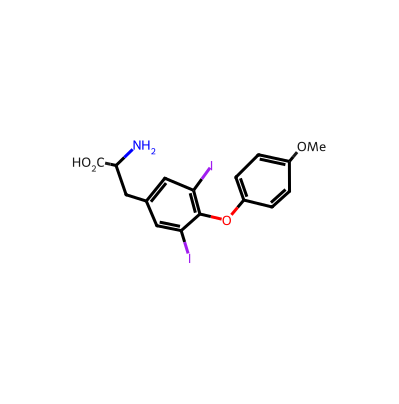 COc1ccc(Oc2c(I)cc(CC(N)C(=O)O)cc2I)cc1